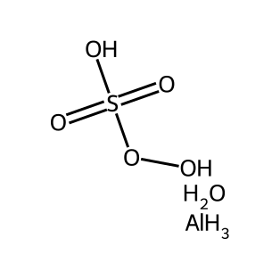 O.O=S(=O)(O)OO.[AlH3]